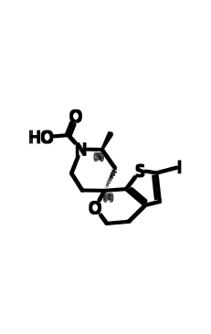 C[C@H]1C[C@@]2(CCN1C(=O)O)OCCc1cc(I)sc12